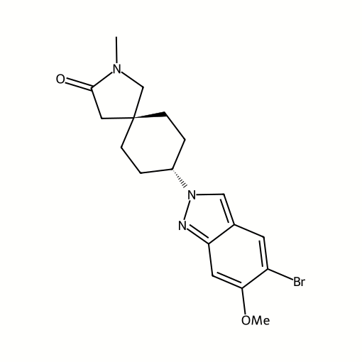 COc1cc2nn([C@H]3CC[C@@]4(CC3)CC(=O)N(C)C4)cc2cc1Br